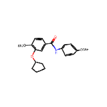 COc1ccc(NC(=O)c2ccc(OC)c(OC3CCCC3)c2)cc1